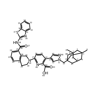 CC12CC3CC(C)(C1)CC(Cn1cc(-c4ccc(N5CCc6cccc(C(=O)Nc7nc8ccccc8s7)c6C5)nc4C(=O)O)cn1)(C3)C2